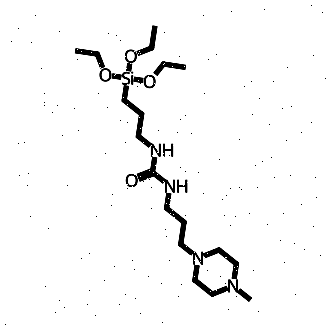 CCO[Si](CCCNC(=O)NCCCN1CCN(C)CC1)(OCC)OCC